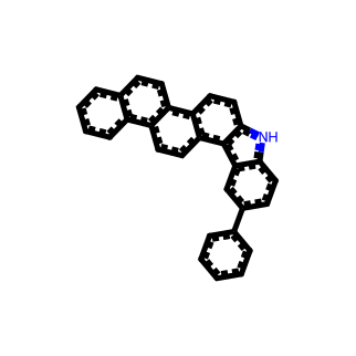 c1ccc(-c2ccc3[nH]c4ccc5c6ccc7ccccc7c6ccc5c4c3c2)cc1